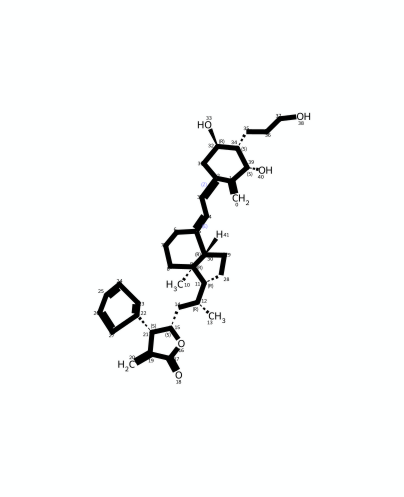 C=C1/C(=C\C=C2/CCC[C@]3(C)[C@@H]([C@H](C)C[C@@H]4OC(=O)C(=C)[C@@H]4c4ccccc4)CC[C@@H]23)C[C@@H](O)[C@H](CCCO)[C@@H]1O